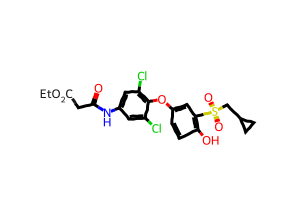 CCOC(=O)CC(=O)Nc1cc(Cl)c(Oc2ccc(O)c(S(=O)(=O)CC3CC3)c2)c(Cl)c1